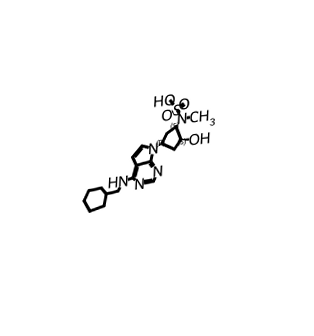 CN([C@H]1C[C@@H](n2ccc3c(NCC4CCCCC4)ncnc32)C[C@@H]1O)S(=O)(=O)O